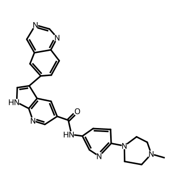 CN1CCN(c2ccc(NC(=O)c3cnc4[nH]cc(-c5ccc6ncncc6c5)c4c3)cn2)CC1